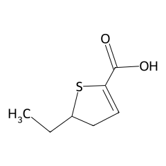 CCC1CC=C(C(=O)O)S1